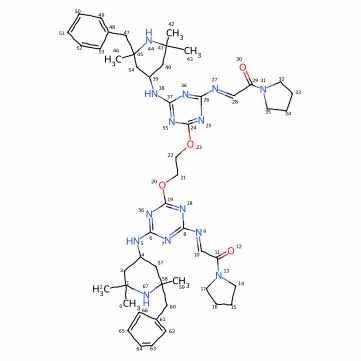 CC1(C)CC(Nc2nc(N=CC(=O)N3CCCC3)nc(OCCOc3nc(N=CC(=O)N4CCCC4)nc(NC4CC(C)(C)NC(C)(Cc5ccccc5)C4)n3)n2)CC(C)(Cc2ccccc2)N1